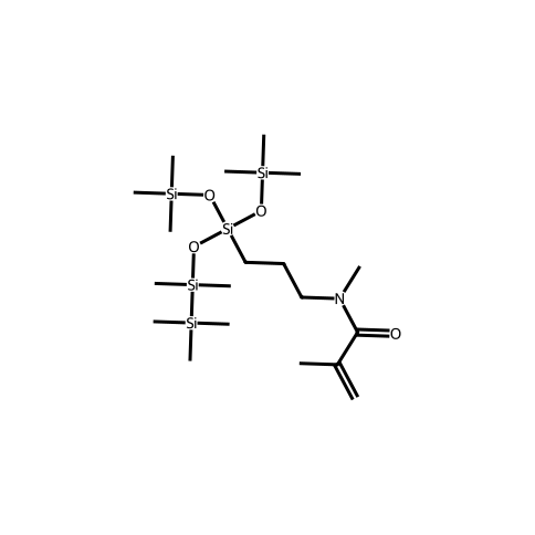 C=C(C)C(=O)N(C)CCC[Si](O[Si](C)(C)C)(O[Si](C)(C)C)O[Si](C)(C)[Si](C)(C)C